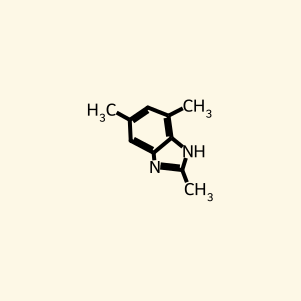 Cc1cc(C)c2[nH]c(C)nc2c1